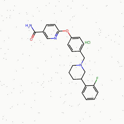 Cl.NC(=O)c1ccc(Oc2ccc(CN3CCCC(c4ccccc4F)C3)cc2)nc1